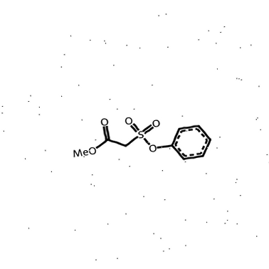 COC(=O)CS(=O)(=O)Oc1ccccc1